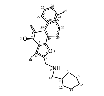 C=C1C(=O)c2c(oc(CNCC3CCCCC3)c2C)-c2ccc3c(C)cccc3c21